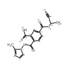 Cc1nccn1OC(=O)c1ccc(C(=O)OC(C)C#N)cc1C(=O)O